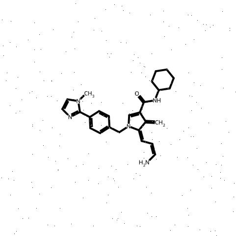 C=c1c(C(=O)NC2CCCCC2)cn(Cc2ccc(-c3nccn3C)cc2)/c1=C/C=C\N